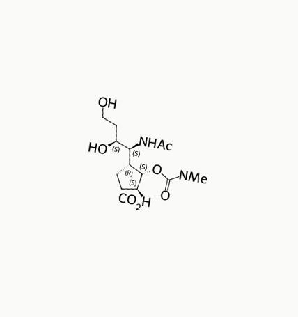 CNC(=O)O[C@H]1[C@@H]([C@H](NC(C)=O)[C@@H](O)CCO)CC[C@@H]1C(=O)O